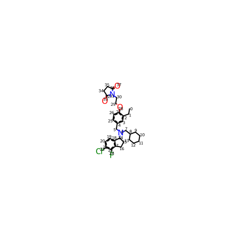 CCc1cc(CN(CC2CCCCC2)[C@H]2CCc3c2ccc(Cl)c3F)ccc1OCCN1C(=O)CCC1=O